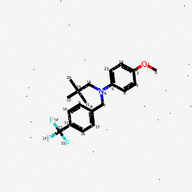 COc1ccc(N(Cc2ccc(C(F)(F)F)cc2)CC(C)(C)C)cc1